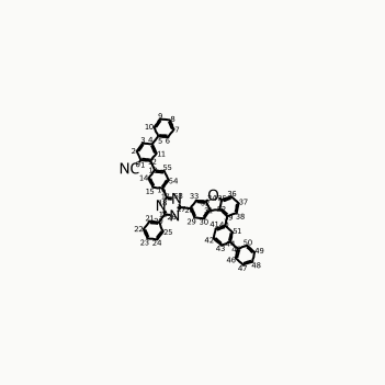 N#Cc1ccc(-c2ccccc2)cc1-c1ccc(-c2nc(-c3ccccc3)nc(-c3ccc4c(c3)oc3cccc(-c5cccc(-c6ccccc6)c5)c34)n2)cc1